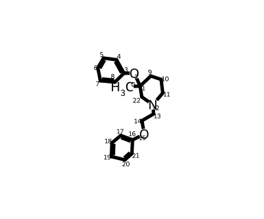 CC1(Oc2ccccc2)CCCN(CCOc2ccccc2)C1